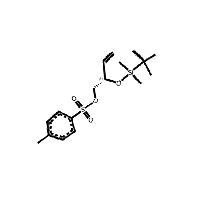 C=C[C@@H](COS(=O)(=O)c1ccc(C)cc1)O[Si](C)(C)C(C)(C)C